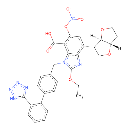 CCOc1nc2c([C@H]3CO[C@H]4CCO[C@@H]43)cc(O[N+](=O)[O-])c(C(=O)O)c2n1Cc1ccc(-c2ccccc2-c2nnn[nH]2)cc1